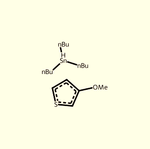 CCC[CH2][SnH]([CH2]CCC)[CH2]CCC.COc1ccsc1